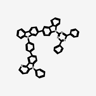 c1ccc(-c2nc(-c3ccccc3)nc(-n3c4ccccc4c4cc(-c5ccc6c7ccccc7n(-c7ccc(-c8ccc9c(c8)c8ncccc8n9-c8ccccc8)cc7)c6c5)ccc43)n2)cc1